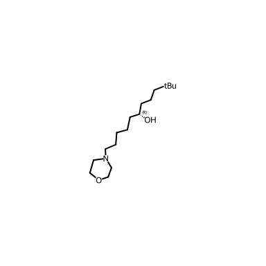 CC(C)(C)CCC[C@H](O)CCCCCN1CCOCC1